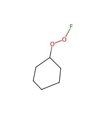 FOOC1CCCCC1